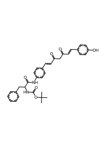 CC(C)(C)OC(=O)NC(Cc1ccccc1)C(=O)Nc1ccc(C=CC(=O)CC(=O)C=Cc2ccc(O)cc2)cc1